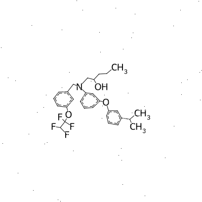 CCCC(O)CN(Cc1cccc(OC(F)(F)C(F)F)c1)c1cccc(Oc2cccc(C(C)C)c2)c1